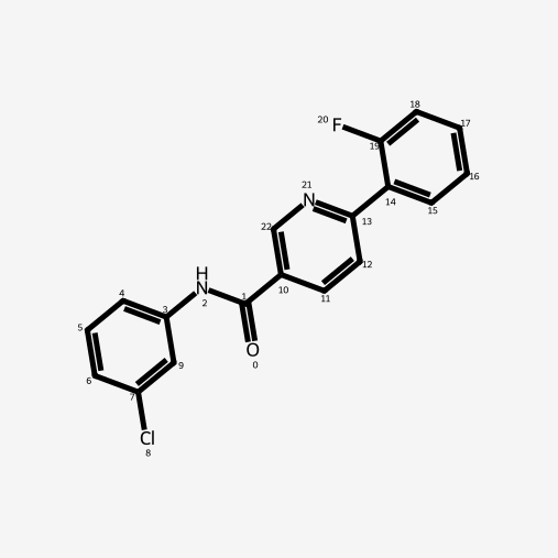 O=C(Nc1cccc(Cl)c1)c1ccc(-c2ccccc2F)nc1